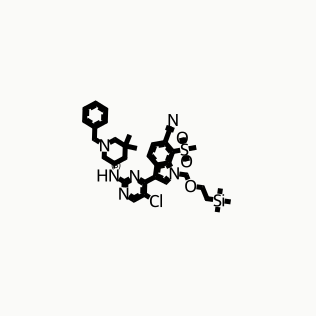 CC1(C)C[C@H](Nc2ncc(Cl)c(-c3cn(COCC[Si](C)(C)C)c4c(S(C)(=O)=O)c(C#N)ccc34)n2)CN(Cc2ccccc2)C1